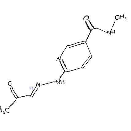 CNC(=O)c1ccc(N/N=C/C(C)=O)nc1